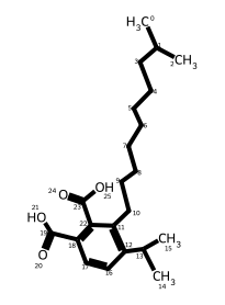 CC(C)CCCCCCCCc1c(C(C)C)ccc(C(=O)O)c1C(=O)O